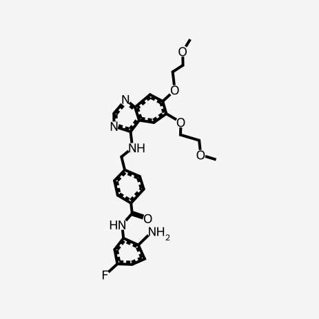 COCCOc1cc2ncnc(NCc3ccc(C(=O)Nc4cc(F)ccc4N)cc3)c2cc1OCCOC